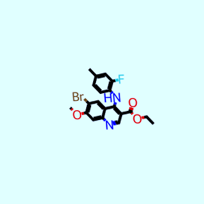 CCOC(=O)c1cnc2cc(OC)c(Br)cc2c1Nc1ccc(C)cc1F